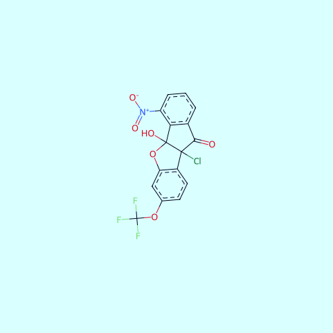 O=C1c2cccc([N+](=O)[O-])c2C2(O)Oc3cc(OC(F)(F)F)ccc3C12Cl